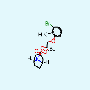 Cc1c(Br)cccc1OCCOC1C[C@H]2CC[C@@H](C1)N2C(=O)OC(C)(C)C